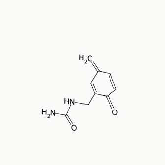 C=C1C=CC(=O)C(CNC(N)=O)=C1